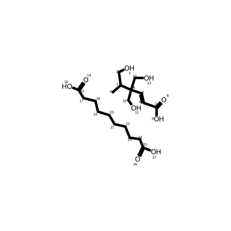 CC(CO)C(C=CC(=O)O)(CO)CO.O=C(O)CCCCCCCCC(=O)O